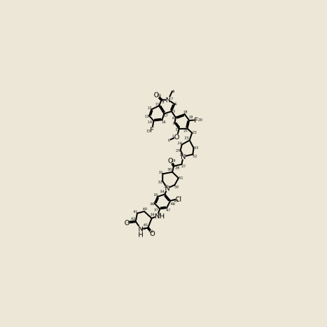 COc1cc(-c2cn(C)c(=O)c3ccc(F)cc23)cc(F)c1CC1CCN(CC(=O)C2CCN(c3ccc(NC4CCC(=O)NC4=O)cc3Cl)CC2)CC1